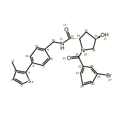 Cc1ccsc1-c1ccc(CNC(=O)[C@@H]2C[C@@H](O)CN2C(=O)c2cccc(Br)c2)cc1